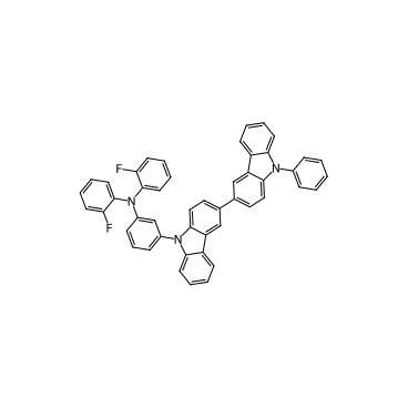 Fc1ccccc1N(c1cccc(-n2c3ccccc3c3cc(-c4ccc5c(c4)c4ccccc4n5-c4ccccc4)ccc32)c1)c1ccccc1F